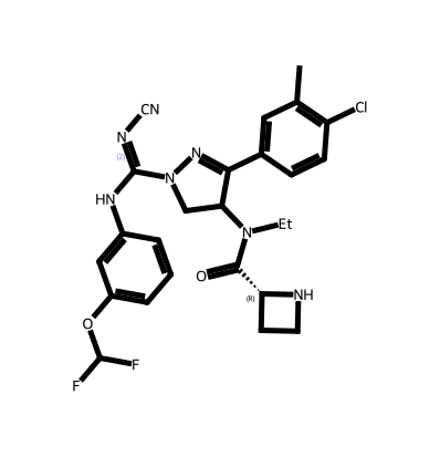 CCN(C(=O)[C@H]1CCN1)C1CN(/C(=N\C#N)Nc2cccc(OC(F)F)c2)N=C1c1ccc(Cl)c(C)c1